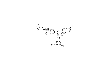 COC1=CC2C=CC([C@H]3C[C@H](c4cc(Cl)cc(Cl)c4)CN3C(C)c3ccc(C(=O)NCCC(=O)OC(C)(C)C)cc3)=CC2C=C1